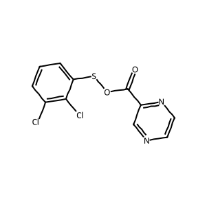 O=C(OSc1cccc(Cl)c1Cl)c1cnccn1